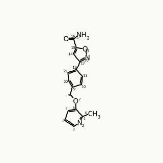 Cc1ncccc1OCc1ccc(-c2cc(C(N)=O)on2)cc1